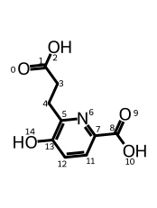 O=C(O)CCc1nc(C(=O)O)ccc1O